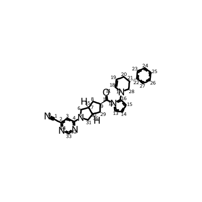 N#Cc1cc(N2C[C@H]3C[C@@H](C(=O)n4cccc4N4C=CC[C@H](c5ccccc5)C4)C[C@H]3C2)ncn1